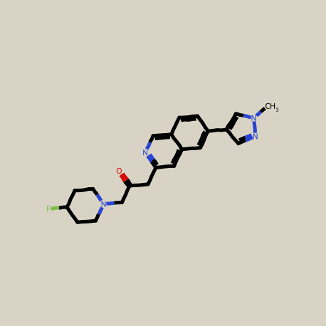 Cn1cc(-c2ccc3cnc(CC(=O)CN4CCC(F)CC4)cc3c2)cn1